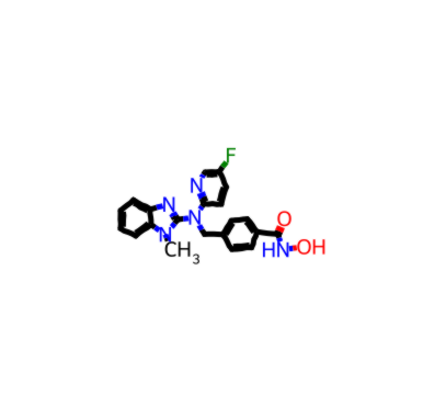 Cn1c(N(Cc2ccc(C(=O)NO)cc2)c2ccc(F)cn2)nc2ccccc21